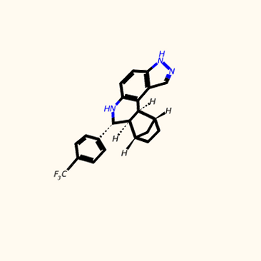 FC(F)(F)c1ccc([C@@H]2Nc3ccc4[nH]ncc4c3[C@H]3[C@@H]4CC[C@@H](C4)[C@H]32)cc1